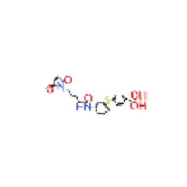 O=C(CCCCCN1C(=O)C=CC1=O)Nc1cccc(Sc2ccc(C(O)O)cc2)c1